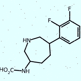 O=C(O)NC1CCC(c2cccc(F)c2F)CNC1